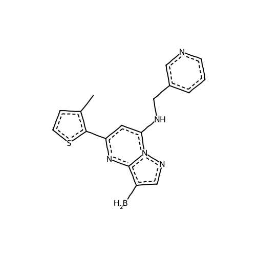 Bc1cnn2c(NCc3cccnc3)cc(-c3sccc3C)nc12